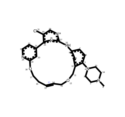 CN1CCN(c2ccc3cc2COC/C=C/CCOc2cc(ccn2)-c2nc(ncc2Cl)N3)CC1